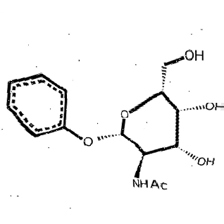 CC(=O)N[C@H]1[C@H](Oc2ccccc2)O[C@H](CO)[C@H](O)[C@@H]1O